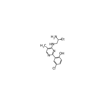 CC[C@H](N)CNc1nc(-c2cc(Cl)ccc2O)ncc1C